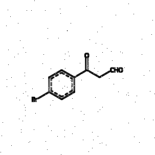 O=CCC(=O)c1ccc(Br)cc1